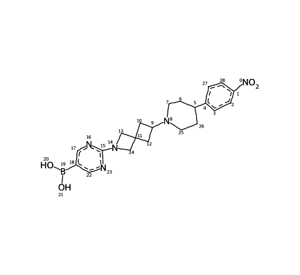 O=[N+]([O-])c1ccc(C2CCN(C3CC4(C3)CN(c3ncc(B(O)O)cn3)C4)CC2)cc1